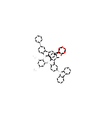 N#Cc1cc(C#N)c(-n2c3ccc(-c4ccccc4)cc3c3cc(-c4ccccc4)ccc32)c(-n2c3ccc(-n4c5ccccc5c5ccccc54)cc3c3c4oc5ccccc5c4ccc32)c1